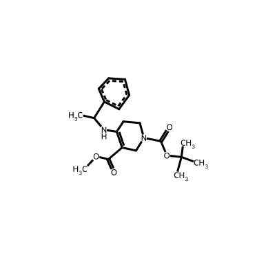 COC(=O)C1=C(NC(C)c2ccccc2)CCN(C(=O)OC(C)(C)C)C1